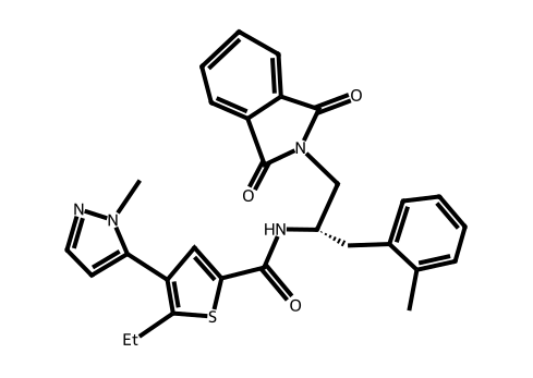 CCc1sc(C(=O)N[C@@H](Cc2ccccc2C)CN2C(=O)c3ccccc3C2=O)cc1-c1ccnn1C